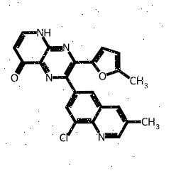 Cc1cnc2c(Cl)cc(-c3nc4c(=O)cc[nH]c4nc3-c3ccc(C)o3)cc2c1